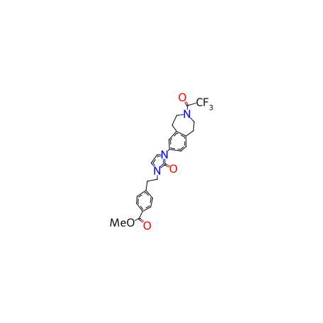 COC(=O)c1ccc(CCn2ccn(-c3ccc4c(c3)CCN(C(=O)C(F)(F)F)CC4)c2=O)cc1